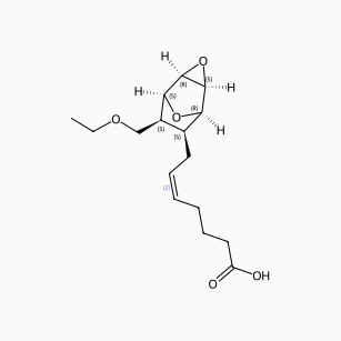 CCOC[C@@H]1[C@H](C/C=C\CCCC(=O)O)[C@H]2O[C@@H]1[C@H]1O[C@H]12